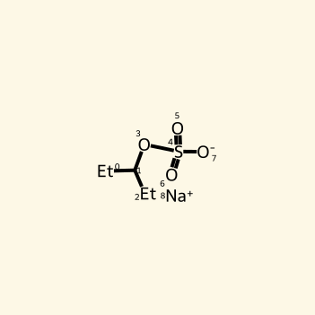 CCC(CC)OS(=O)(=O)[O-].[Na+]